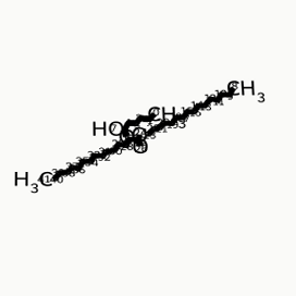 CC=CC=CC(=O)O.CCCCCCCCCCCCCCCCOC(=O)CCCCCCCCCCCCCCC